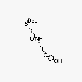 CCCCCCCCCCSCCCCCC(=O)NCCCCCCOc1ccc(O)cc1